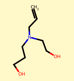 C=CCN(CCO)CCCO